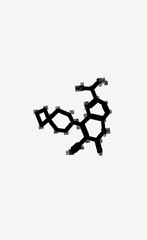 CC(O)c1ccc2[nH]c(=O)c(C#N)c(N3CCC4(CCC4)CC3)c2n1